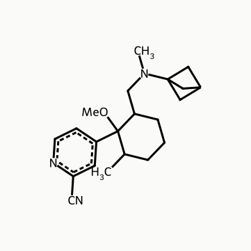 COC1(c2ccnc(C#N)c2)C(C)CCCC1CN(C)C12CC(C1)C2